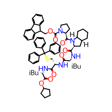 CC[C@H](C)[C@H](NC(=O)[C@@H]1C[C@@H]2CCCC[C@@H]2N1C(=O)[C@@H]1CCCN1C(=O)OCC1c2ccccc2-c2ccccc21)C(=O)N[C@@H](CSC(c1ccccc1)(c1ccccc1)c1ccccc1)C(=O)N[C@H](C(=O)OC1CCCC1)[C@@H](C)CC